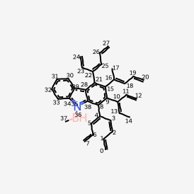 C=C/C=C\C(=C/C=C)c1c(/C(C=C)=C/C)c(/C(C)=C/C=C)c(/C(C=C)=C/C=C)c2c3ccccc3n(BC)c12